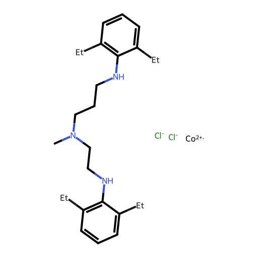 CCc1cccc(CC)c1NCCCN(C)CCNc1c(CC)cccc1CC.[Cl-].[Cl-].[Co+2]